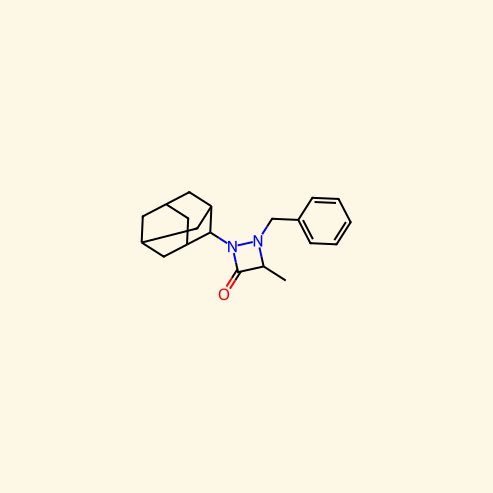 CC1C(=O)N(C2C3CC4CC(C3)CC2C4)N1Cc1ccccc1